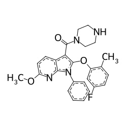 COc1ccc2c(C(=O)N3CCNCC3)c(Oc3cc(F)ccc3C)n(-c3ccccc3)c2n1